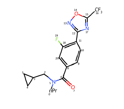 CCCN(CC1CC1)C(=O)c1ccc(-c2noc(C(F)(F)F)n2)c(F)c1